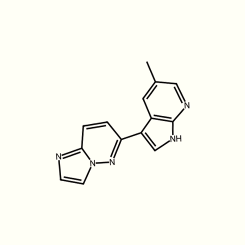 Cc1cnc2[nH]cc(-c3ccc4nccn4n3)c2c1